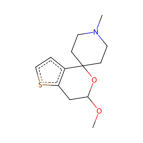 COC1Cc2sccc2C2(CCN(C)CC2)O1